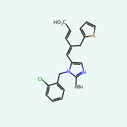 CCCCc1ncc(C=C(C=CC(=O)O)Cc2cccs2)n1Cc1ccccc1Cl